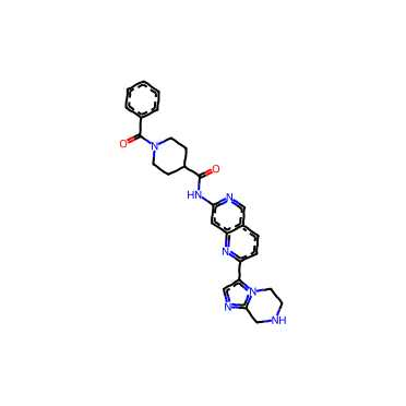 O=C(Nc1cc2nc(-c3cnc4n3CCNC4)ccc2cn1)C1CCN(C(=O)c2ccccc2)CC1